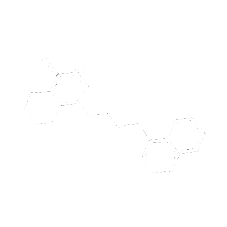 O=c1[nH]nc(CCNCc2cccc3ccccc23)c2c1CCCC2